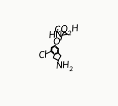 NC1Cc2cc(OCC3(NC(=O)O)CC3)cc(Cl)c2C1